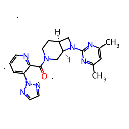 Cc1cc(C)nc(N2C[C@@H]3CCN(C(=O)c4ncccc4-n4nccn4)C[C@@]32I)n1